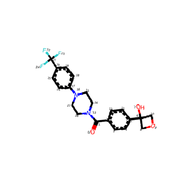 O=C(c1ccc(C2(O)COC2)cc1)N1CCN(c2ccc(C(F)(F)F)cc2)CC1